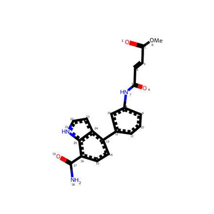 COC(=O)C=CC(=O)Nc1cccc(-c2ccc(C(N)=O)c3[nH]ccc23)c1